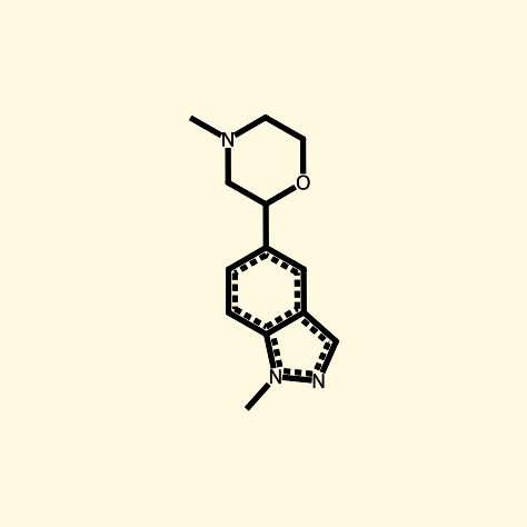 CN1CCOC(c2ccc3c(cnn3C)c2)C1